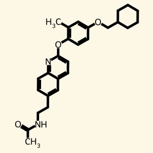 CC(=O)NCCc1ccc2nc(Oc3ccc(OCC4CCCCC4)cc3C)ccc2c1